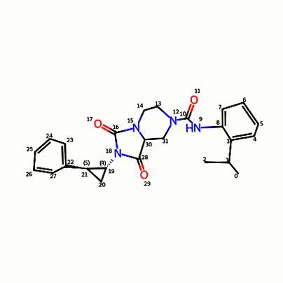 CC(C)c1ccccc1NC(=O)N1CCN2C(=O)N([C@@H]3C[C@H]3c3ccccc3)C(=O)C2C1